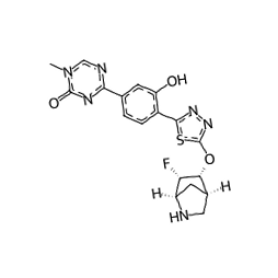 Cn1cnc(-c2ccc(-c3nnc(O[C@@H]4[C@H]5CN[C@H](C5)[C@@H]4F)s3)c(O)c2)nc1=O